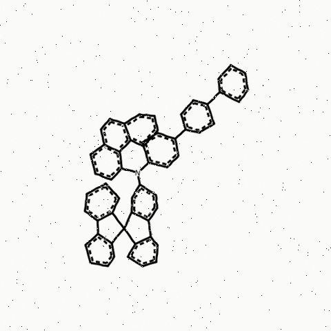 c1ccc(-c2ccc(-c3ccc(N(c4ccc5c(c4)C4(c6ccccc6-c6ccccc64)c4ccccc4-5)c4cccc5ccc6ccccc6c45)cc3)cc2)cc1